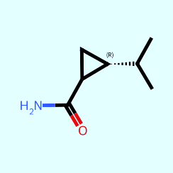 CC(C)[C@H]1CC1C(N)=O